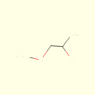 CCCCC(O)COC(=O)O